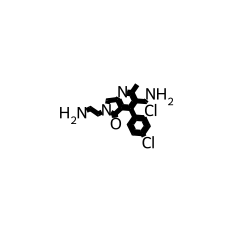 Cc1nc2c(c(-c3ccc(Cl)cc3Cl)c1CN)C(=O)N(CCN)C2